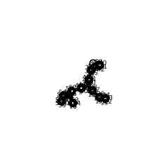 c1ccc(-n2c3cc(-c4ccc(N(c5ccc(-c6ccc7ccccc7c6)cc5)c5ccc(-c6ccc7oc8ccccc8c7c6)cc5)cc4)ccc3c3ccc4ccccc4c32)cc1